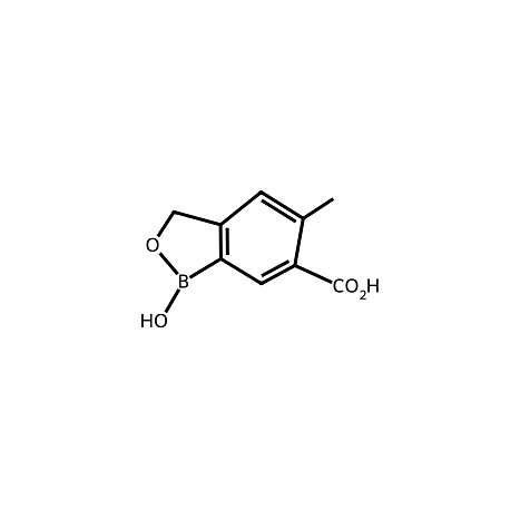 Cc1cc2c(cc1C(=O)O)B(O)OC2